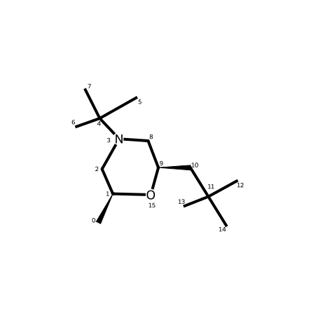 C[C@H]1CN(C(C)(C)C)C[C@@H](CC(C)(C)C)O1